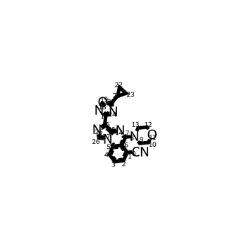 N#Cc1cccc2c1c(N1CCOCC1)nc1c(-c3noc(C4CC4)n3)ncn12